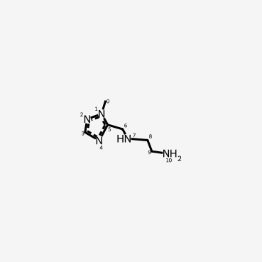 Cn1ncnc1CNCCN